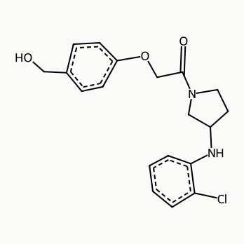 O=C(COc1ccc(CO)cc1)N1CCC(Nc2ccccc2Cl)C1